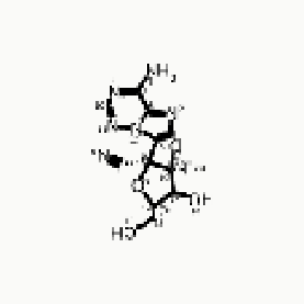 N#C[C@@]1(c2cnc3c(N)ncnn23)O[C@H](CO)C(O)[C@]1(F)Cl